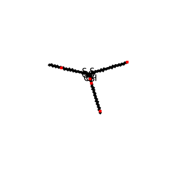 CCCCCCCCCCCCCCCCCCCCCCCCC(=S)OCC(CO)(COC(=S)CCCCCCCCCCCCCCCCCCCCCCCC)COC(=S)CCCCCCCCCCCCCCCCCCCCCCCC